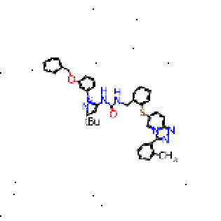 Cc1ccccc1-c1nnc2ccc(Sc3ccccc3CNC(=O)Nc3cc(C(C)(C)C)nn3-c3cccc(OCc4ccccc4)c3)cn12